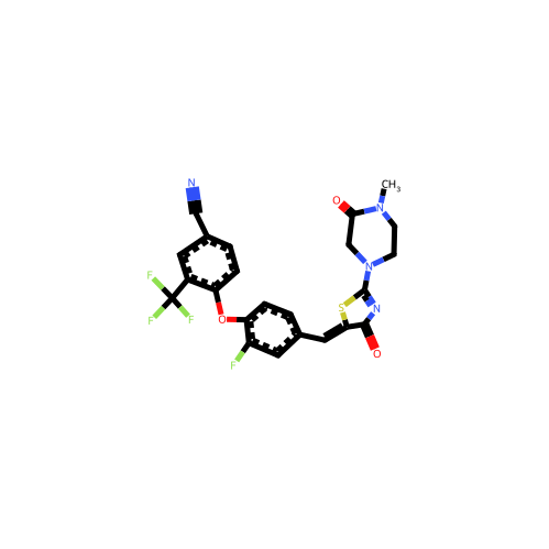 CN1CCN(C2=NC(=O)C(=Cc3ccc(Oc4ccc(C#N)cc4C(F)(F)F)c(F)c3)S2)CC1=O